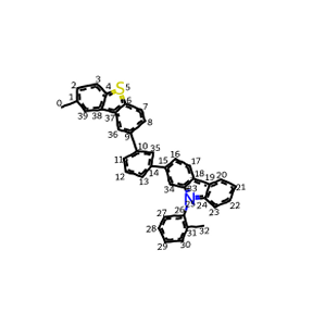 Cc1ccc2sc3ccc(-c4cccc(-c5ccc6c7ccccc7n(-c7ccccc7C)c6c5)c4)cc3c2c1